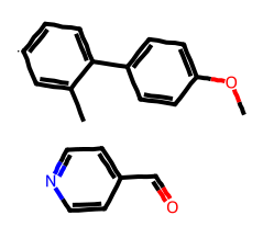 COc1ccc(-c2cc[c]cc2C)cc1.O=Cc1ccncc1